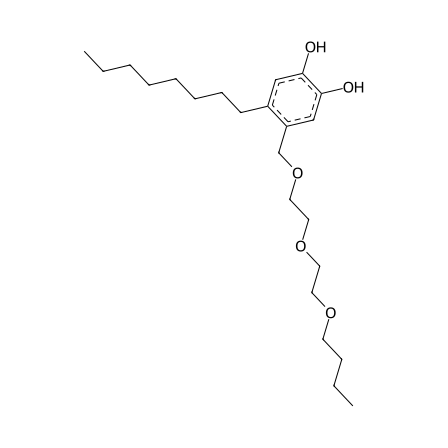 CCCCCCCCc1cc(O)c(O)cc1COCCOCCOCCCC